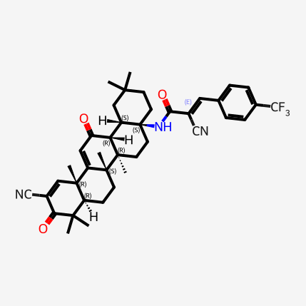 CC1(C)CC[C@]2(NC(=O)/C(C#N)=C/c3ccc(C(F)(F)F)cc3)CC[C@]3(C)[C@H](C(=O)C=C4[C@@]5(C)C=C(C#N)C(=O)C(C)(C)[C@@H]5CC[C@]43C)[C@@H]2C1